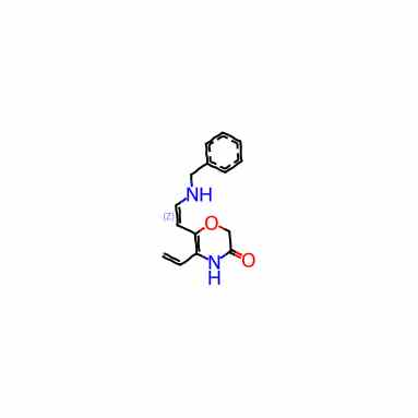 C=CC1=C(/C=C\NCc2ccccc2)OCC(=O)N1